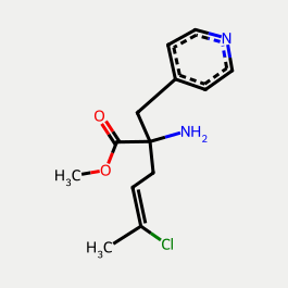 COC(=O)C(N)(C/C=C(/C)Cl)Cc1ccncc1